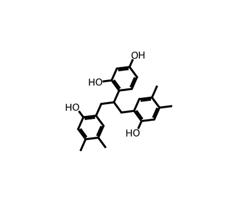 Cc1cc(O)c(CC(Cc2cc(C)c(C)cc2O)c2ccc(O)cc2O)cc1C